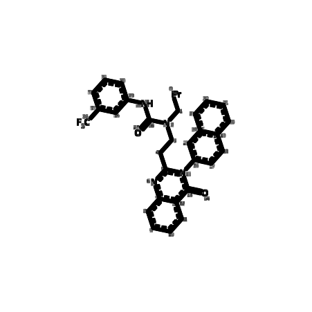 CC(C)CN(CCc1nc2ccccc2c(=O)n1-c1ccc2ccccc2c1)C(=O)Nc1cccc(C(F)(F)F)c1